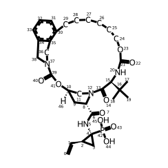 C=C[C@@H]1C[C@]1(NC(=O)[C@@H]1C[C@@H]2CN1C(=O)[C@H](C(C)(C)C)NC(=O)OCCCCCCc1cccc3c1CN(C3)C(=O)O2)P(=O)(O)O